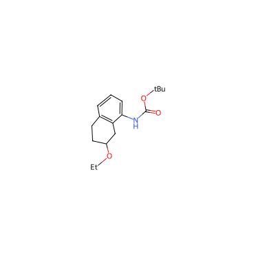 CCOC1CCc2cccc(NC(=O)OC(C)(C)C)c2C1